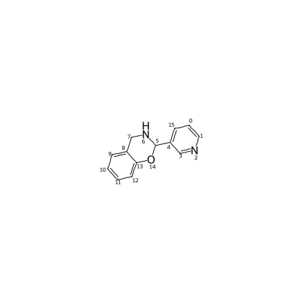 c1cncc(C2NCc3ccccc3O2)c1